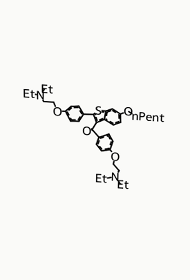 CCCCCOc1ccc2c(C(=O)c3ccc(OCCN(CC)CC)cc3)c(-c3ccc(OCCN(CC)CC)cc3)sc2c1